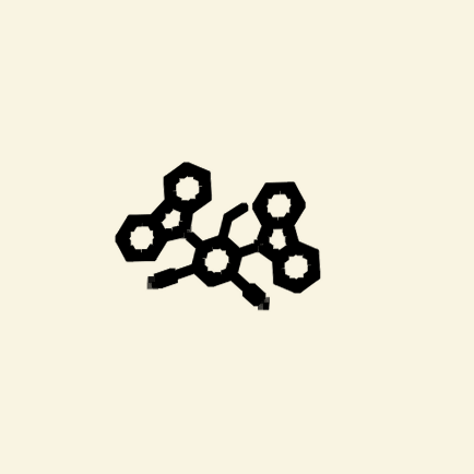 CCc1c(-n2c3ccccc3c3ccccc32)c(C#N)cc(C#N)c1-n1c2ccccc2c2ccccc21